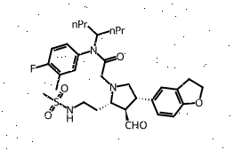 CCCC(CCC)N(C(=O)CN1C[C@H](c2ccc3c(c2)CCO3)[C@@H](C=O)[C@@H]1CCNS(C)(=O)=O)c1ccc(F)c(C)c1